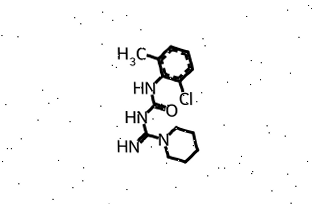 Cc1cccc(Cl)c1NC(=O)NC(=N)N1CCCCC1